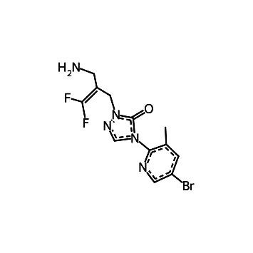 Cc1cc(Br)cnc1-n1cnn(CC(CN)=C(F)F)c1=O